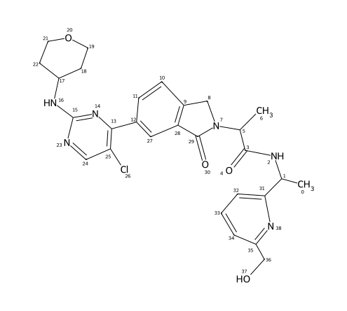 CC(NC(=O)C(C)N1Cc2ccc(-c3nc(NC4CCOCC4)ncc3Cl)cc2C1=O)c1cccc(CO)n1